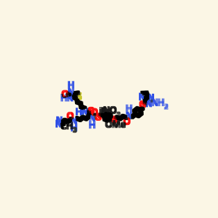 COc1cc(C(OC(=O)NC(CCCCNC(=O)CCC2(C)N=N2)C(=O)NCCCCC2SCC3NC(=O)NC32)C(C)C)c([N+](=O)[O-])cc1OCCCC(=O)NCc1ccc(COc2nc(N)nc3c2N=CC3)cc1